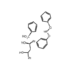 CC(C)C(O)CC(O)C(C)C.O=C(O)c1ccccc1.c1ccc(OPOc2ccccc2)cc1